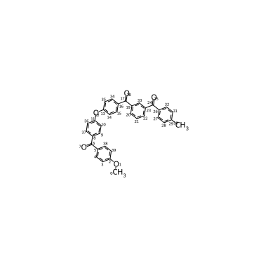 COc1ccc(C(=O)c2ccc(Oc3ccc(C(=O)c4cccc(C(=O)c5ccc(C)cc5)c4)cc3)cc2)cc1